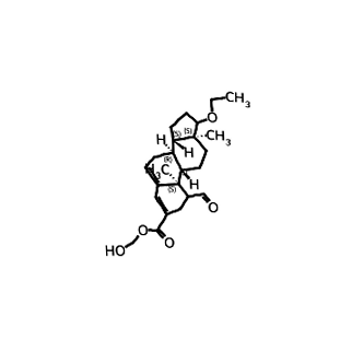 CCOC1CC[C@H]2[C@@H]3CC=C4C=C(C(=O)OCO)CC(C=O)[C@]4(C)[C@H]3CC[C@]12C